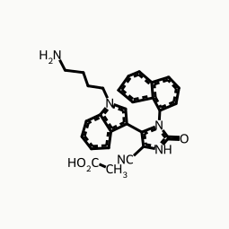 CC(=O)O.N#Cc1[nH]c(=O)n(-c2cccc3ccccc23)c1-c1cn(CCCCN)c2ccccc12